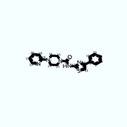 O=C(Nc1nc(-c2ccccc2)cs1)N1CCN(c2ccccn2)CC1